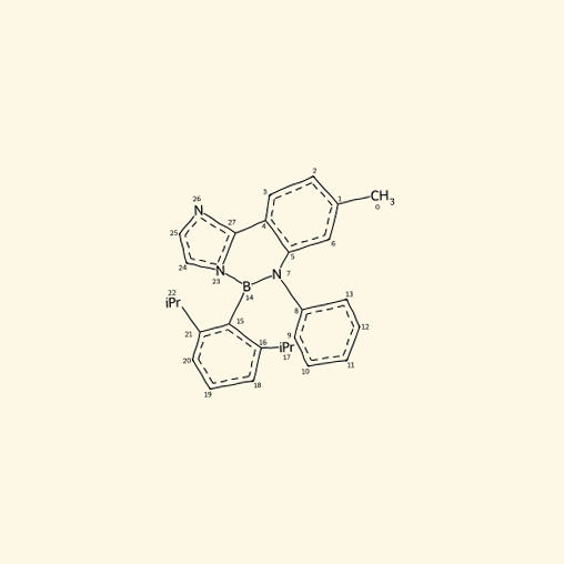 Cc1ccc2c(c1)N(c1ccccc1)B(c1c(C(C)C)cccc1C(C)C)n1ccnc1-2